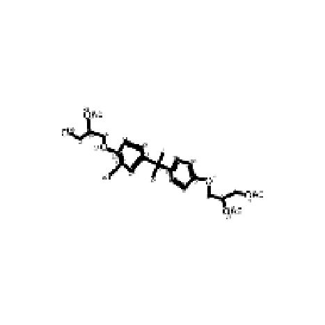 CC(=O)OCC(COc1ccc(C(C)(C)c2ccc(OCC(CCl)OC(C)=O)c(I)c2)cc1)OC(C)=O